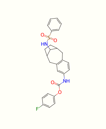 O=C(Nc1ccc2c(c1)CC1CCC(C2)C1NS(=O)(=O)c1ccccc1)Oc1ccc(F)cc1